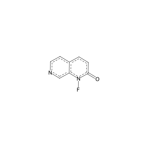 O=c1ccc2ccncc2n1F